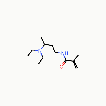 C=C(C)C(=O)NCCC(C)N(CC)CC